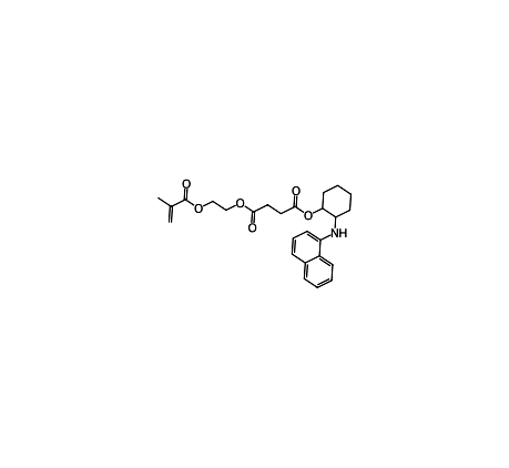 C=C(C)C(=O)OCCOC(=O)CCC(=O)OC1CCCCC1Nc1cccc2ccccc12